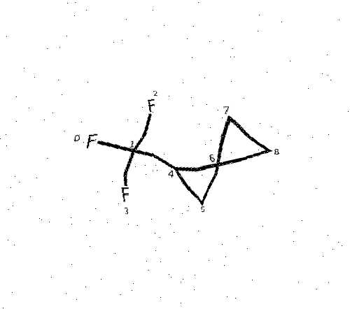 FC(F)(F)C1CC12CC2